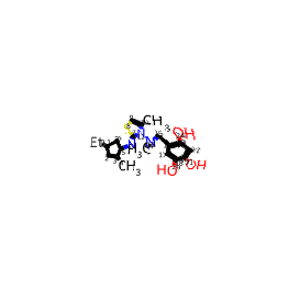 CCC1CC(C)C(/N=c2\scc(C)n2N(C)Cc2cc(O)c(O)cc2O)C1